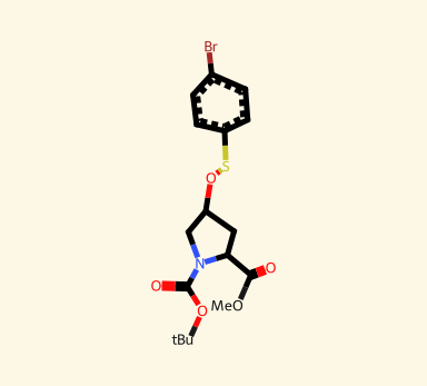 COC(=O)C1CC(OSc2ccc(Br)cc2)CN1C(=O)OC(C)(C)C